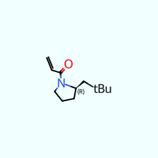 C=CC(=O)N1CCC[C@@H]1CC(C)(C)C